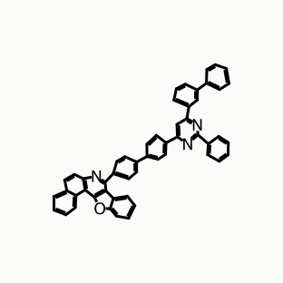 c1ccc(-c2cccc(-c3cc(-c4ccc(-c5ccc(-c6nc7ccc8ccccc8c7c7oc8ccccc8c67)cc5)cc4)nc(-c4ccccc4)n3)c2)cc1